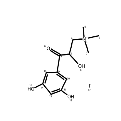 C[N+](C)(C)CC(O)C(=O)c1cc(O)cc(O)c1.[I-]